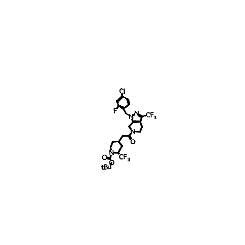 CC(C)(C)OC(=O)N1CCC(CC(=O)N2CCc3c(C(F)(F)F)nn(Cc4ccc(Cl)cc4F)c3C2)CC1C(F)(F)F